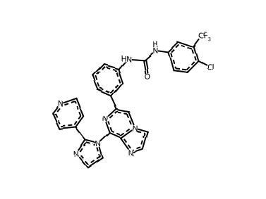 O=C(Nc1cccc(-c2cn3ccnc3c(-n3ccnc3-c3ccncc3)n2)c1)Nc1ccc(Cl)c(C(F)(F)F)c1